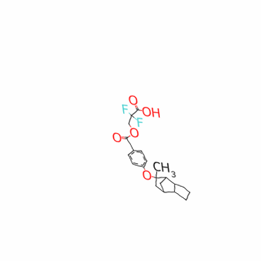 CC1(Oc2ccc(C(=O)OCC(F)(F)C(=O)O)cc2)CC2CC1C1CCCC21